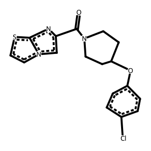 O=C(c1cn2ccsc2n1)N1CCC(Oc2ccc(Cl)cc2)CC1